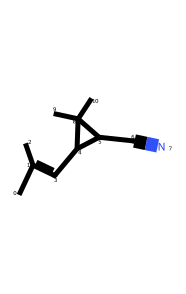 CC(C)=CC1C(C#N)C1(C)C